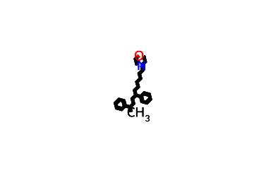 CC(CCC(CCCCCCN1CCOCC1)c1ccccc1)c1ccccc1